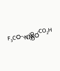 CC1CN(CCc2ccc(C(F)(F)F)cc2)CC(C)N1S(=O)(=O)c1cccc(CC(=O)O)c1